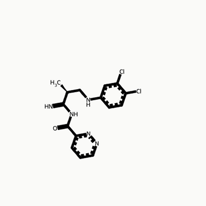 C[C@@H](CNc1ccc(Cl)c(Cl)c1)C(=N)NC(=O)c1cccnn1